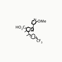 COc1cc(-c2ccn3c(C(C)N4CCN(CC(F)(F)F)CC4)c(C)c(C(=O)O)cc23)ccn1